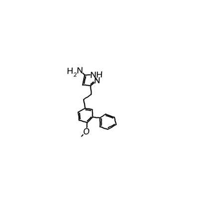 COc1ccc(CCc2cc(N)[nH]n2)cc1-c1ccccc1